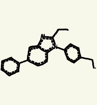 [CH2]Cc1ccc(-n2c(CC)nc3cc(-c4ccccc4)ccc32)cc1